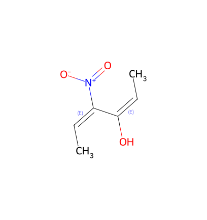 C/C=C(O)\C(=C/C)[N+](=O)[O-]